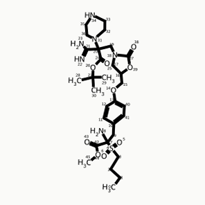 CCCCS(=O)(=O)C(N)(Cc1ccc(OCC2CN(CC(C(=N)N)(C(=O)OC(C)(C)C)N3CCNCC3)C(=O)O2)cc1)C(=O)OC